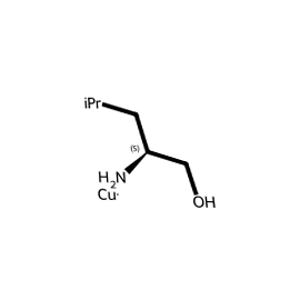 CC(C)C[C@H](N)CO.[Cu]